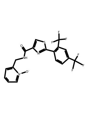 O=C(NCc1cccc[n+]1[O-])c1csc(-c2ccc(C(F)(F)F)cc2C(F)(F)F)n1